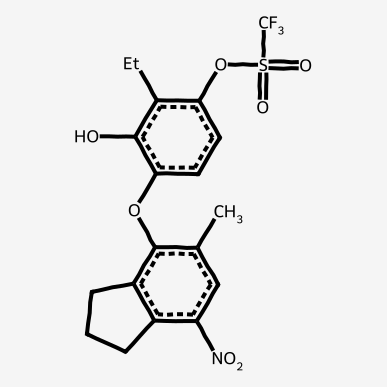 CCc1c(OS(=O)(=O)C(F)(F)F)ccc(Oc2c(C)cc([N+](=O)[O-])c3c2CCC3)c1O